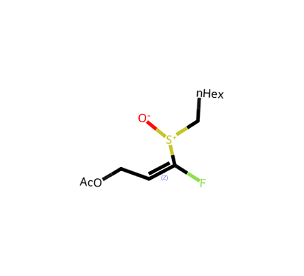 CCCCCCC[S+]([O-])/C(F)=C\COC(C)=O